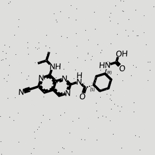 CC(C)Nc1nc(C#N)cc2cnc(NC(=O)[C@H]3CCC[C@@H](NC(=O)O)C3)nc12